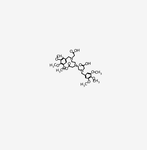 COc1cc(CN(CCN(CCN(CC(=O)O)Cc2cc(OC)c(OC)c(OC)c2)CC(=O)O)CC(=O)O)cc(OC)c1OC